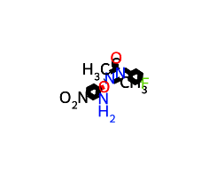 C[C@@H]1CN(COc2ccc([N+](=O)[O-])cc2N)[C@@H](C)C(=C=O)N1Cc1ccc(F)cc1